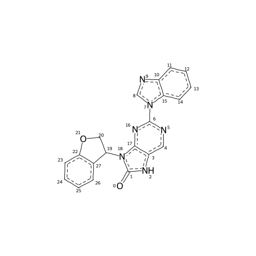 O=c1[nH]c2cnc(-n3cnc4ccccc43)nc2n1C1COc2ccccc21